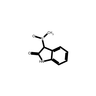 C[S+]([O-])C1C(=O)Nc2ccccc21